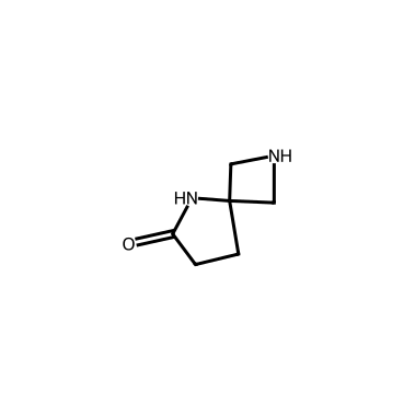 O=C1CCC2(CNC2)N1